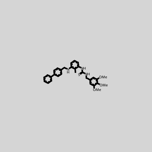 COc1cc(CNC(=S)Nc2cccc(NCc3ccc(-c4ccccc4)cc3)c2C)cc(OC)c1OC